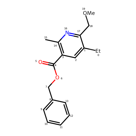 CCc1cc(C(=O)OCc2ccccc2)c(C)nc1COC